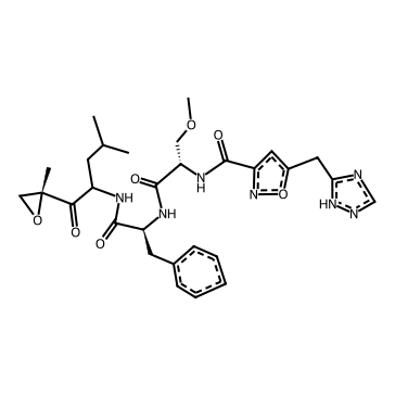 COC[C@H](NC(=O)c1cc(Cc2ncn[nH]2)on1)C(=O)N[C@@H](Cc1ccccc1)C(=O)NC(CC(C)C)C(=O)[C@@]1(C)CO1